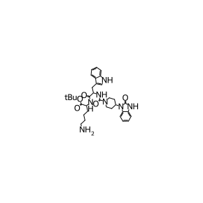 CC(C)(C)OC(=O)C(CCCCN)NC(=O)C(Cc1c[nH]c2ccccc12)NC(=O)N1CCC(n2c(=O)[nH]c3ccccc32)CC1